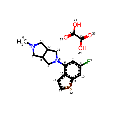 CN1CC2CN(c3cc(F)cc4sccc34)CC2C1.O=C(O)C(=O)O